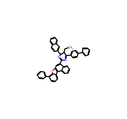 CCC1C(c2ccc(-c3ccccc3)cc2)=NC(c2cc3oc4c(-c5ccccc5)cccc4c3c3ccccc23)=NC1c1ccc2ccccc2c1